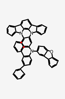 c1ccc(-c2ccc(N(c3ccc4oc5ccccc5c4c3)c3ccc4c(c3)n3c5ccccc5c5ccc6c7ccccc7n4c6c53)c(-c3ccccc3)c2)cc1